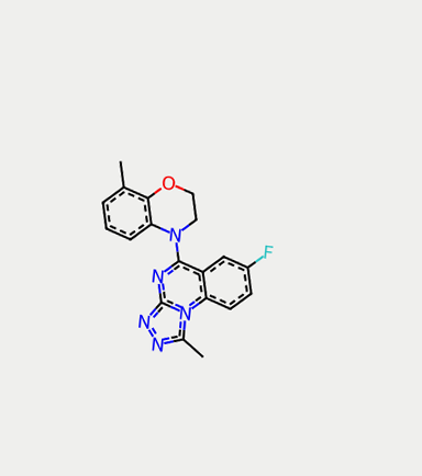 Cc1cccc2c1OCCN2c1nc2nnc(C)n2c2ccc(F)cc12